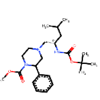 COC(=O)N1CCN(C[C@H](CC(C)C)NC(=O)OC(C)(C)C)CC1c1ccccc1